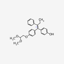 CC/C(=C(\c1ccc(O)cc1)c1ccc(OCC(OC)OC)cc1)c1ccccc1